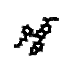 COC(=O)c1ccc2nc(-c3ccc4c(c3)OCO4)c(Nc3ccccc3CCCBr)nc2c1